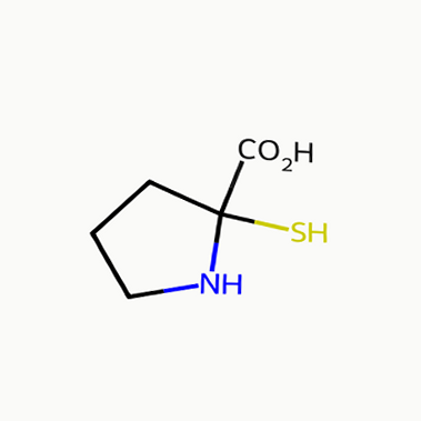 O=C(O)C1(S)CCCN1